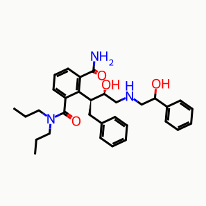 CCCN(CCC)C(=O)c1cccc(C(N)=O)c1[C@H](Cc1ccccc1)[C@@H](O)CNCC(O)c1ccccc1